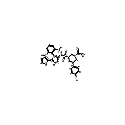 COc1cccc(OC)c1-n1c(NS(=O)(=O)[C@@H]2C[C@@H](c3ccc(F)cc3)CN(C(=O)O)C2)nnc1-c1ccco1